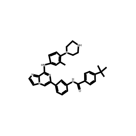 Cc1cc(Nc2nc(-c3cccc(NC(=O)c4ccc(C(C)(C)C)cc4)c3)cn3ccnc23)ccc1N1CCNCC1